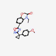 CCN1C(=O)COc2ccc(-c3nc(C4(c5ccc(OC)cc5)CC4)no3)cc21